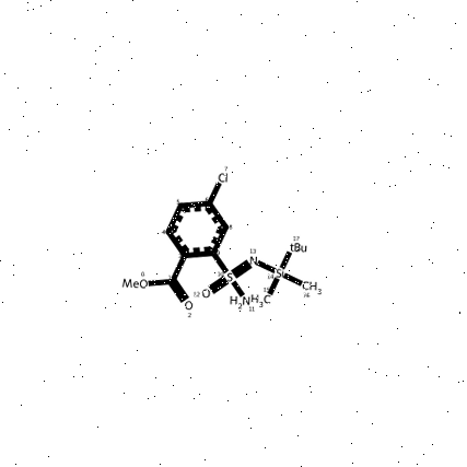 COC(=O)c1ccc(Cl)cc1S(N)(=O)=N[Si](C)(C)C(C)(C)C